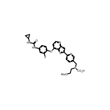 COCCN(Cc1ccc(-c2cc3nccc(Oc4ccc(NC(=O)NC5CC5)cc4F)c3s2)nc1)C(=O)O